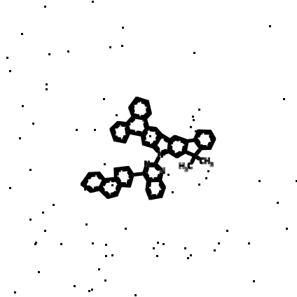 CC1(C)c2ccccc2-c2cc3c4cc5c6ccccc6c6ccccc6c5cc4n(-c4nc(-c5ccc6c(ccc7ccccc76)c5)c5ccccc5n4)c3cc21